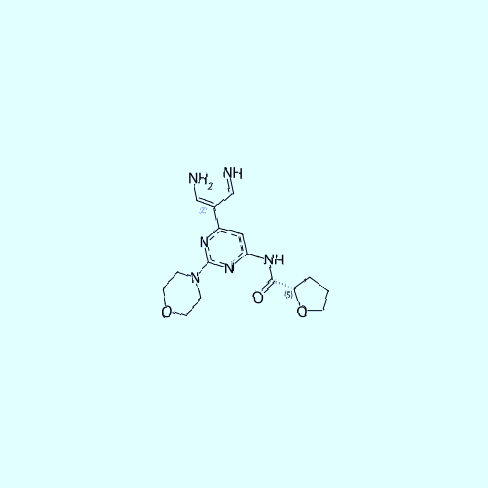 N=C/C(=C\N)c1cc(NC(=O)[C@@H]2CCCO2)nc(N2CCOCC2)n1